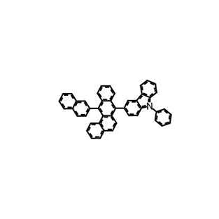 c1ccc(-n2c3ccccc3c3cc(-c4c5ccccc5c(-c5ccc6ccccc6c5)c5c4ccc4ccccc45)ccc32)cc1